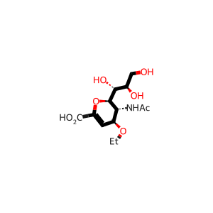 CCO[C@H]1C=C(C(=O)O)O[C@@H]([C@H](O)[C@H](O)CO)[C@@H]1NC(C)=O